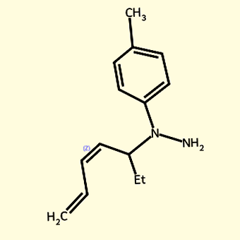 C=C/C=C\C(CC)N(N)c1ccc(C)cc1